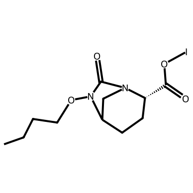 CCCCON1C(=O)N2CC1CC[C@H]2C(=O)OI